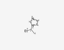 [CH2]CC(C)n1ccnc1